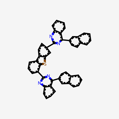 c1ccc2cc(-c3nc(-c4ccc5c(c4)sc4c(-c6nc(-c7ccc8ccccc8c7)c7ccccc7n6)cccc45)nc4ccccc34)ccc2c1